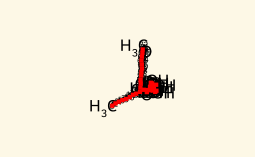 CCCCCCCCCCCCCCCC(=O)O[C@@H](COP(=O)(O)OC1C(O)[C@H](OP(=O)(O)O)C(OP(=O)(O)O)[C@H](OP(=O)(O)O)[C@@H]1O)CC(=O)OCCCCCCCCCCCCCCCSC(=O)CCC